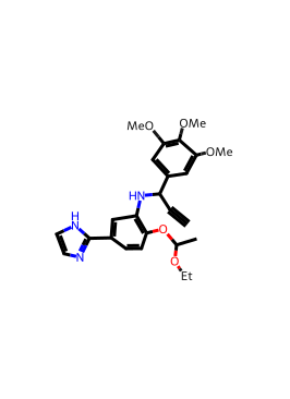 C#CC(Nc1cc(-c2ncc[nH]2)ccc1OC(C)OCC)c1cc(OC)c(OC)c(OC)c1